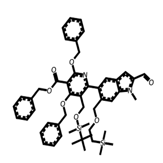 Cn1c(C=O)cc2cc(-c3nc(OCc4ccccc4)c(C(=O)OCc4ccccc4)c(OCc4ccccc4)c3CO[Si](C)(C)C(C)(C)C)c(COCC[Si](C)(C)C)cc21